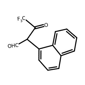 O=CC(C(=O)C(F)(F)F)c1cccc2ccccc12